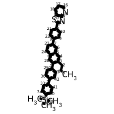 CCCc1cc2cc(-c3ccc(-c4nc5ncccc5s4)cc3)ccc2cc1-c1ccc(-c2ccc([Si](C)(C)C)cc2)cc1